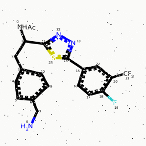 CC(=O)NC(Cc1ccc(CN)cc1)c1nnc(-c2ccc(F)c(C(F)(F)F)c2)s1